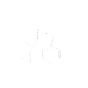 O=P(c1cnccc1I)(C1CC1)C1CC1